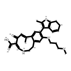 COCCCOc1cc2c(cc1-c1c(C)oc3c1C=CCC3)/C(C)=C/C(=O)/C(C(=O)O)=C\NCC2